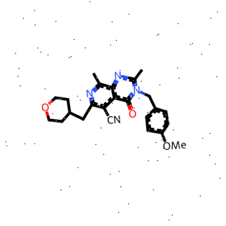 COc1ccc(Cn2c(C)nc3c(C)nc(CC4CCOCC4)c(C#N)c3c2=O)cc1